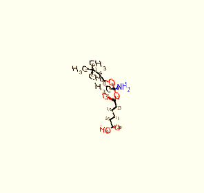 CC(C)(C)CCOC(C)(N)OC(=O)CCCCC(=O)O